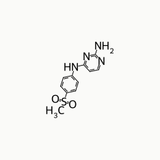 CS(=O)(=O)c1ccc(Nc2ccnc(N)n2)cc1